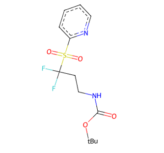 CC(C)(C)OC(=O)NCCC(F)(F)S(=O)(=O)c1ccccn1